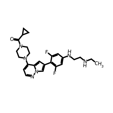 CCNCCNc1cc(F)c(-c2cc3c(N4CCN(C(=O)C5CC5)CC4)ccnn3c2)c(F)c1